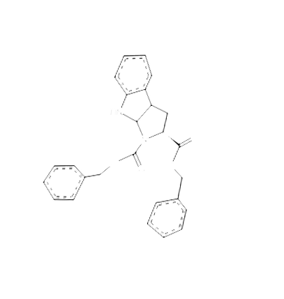 O=C(OCc1ccccc1)[C@@H]1CC2c3ccccc3NC2N1C(=O)OCc1ccccc1